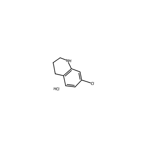 Cl.Clc1ccc2c(c1)NCCC2